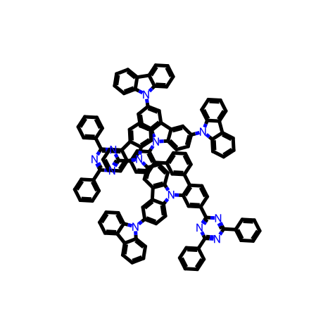 c1ccc(-c2nc(-c3ccccc3)nc(-c3ccc(-c4cccc(-c5ccc(-c6nc(-c7ccccc7)nc(-c7ccccc7)n6)cc5-n5c6ccc(-n7c8ccccc8c8ccccc87)cc6c6cc(-n7c8ccccc8c8ccccc87)ccc65)c4)c(-n4c5ccc(-n6c7ccccc7c7ccccc76)cc5c5cc(-n6c7ccccc7c7ccccc76)ccc54)c3)n2)cc1